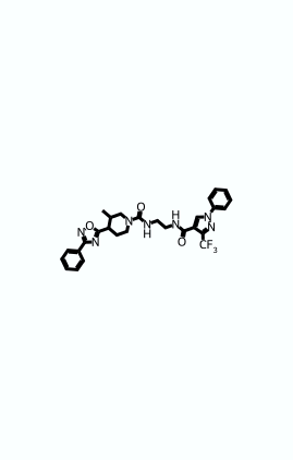 CC1CN(C(=O)NCCNC(=O)c2cn(-c3ccccc3)nc2C(F)(F)F)CCC1c1nc(-c2ccccc2)no1